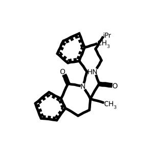 Cc1ccccc1CN1C(=O)c2ccccc2CCC1(C)C(=O)NCCC(C)C